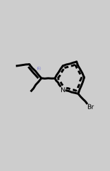 C/C=C(\C)c1cccc(Br)n1